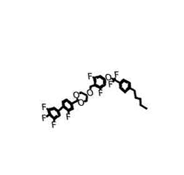 CCCCCc1ccc(C(F)(F)Oc2cc(F)c(COC3COC(c4ccc(-c5cc(F)c(F)c(F)c5)c(F)c4)OC3)c(F)c2)cc1